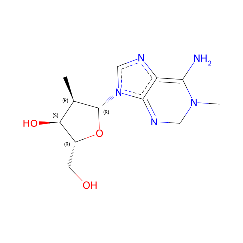 C[C@@H]1[C@H](O)[C@@H](CO)O[C@H]1n1cnc2c1=NCN(C)C=2N